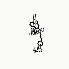 CC(C)(C)OC(=O)N1CCC(CCCNC(=O)C2=CC3CNC4=CC=CC(=C2S(=O)(=O)O)N43)CC1